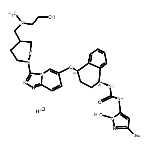 CN(CCO)CC1CCN(c2nnc3ccc(O[C@@H]4CC[C@H](NC(=O)Nc5cc(C(C)(C)C)nn5C)c5ccccc54)cn23)CC1.[Cl-].[H+]